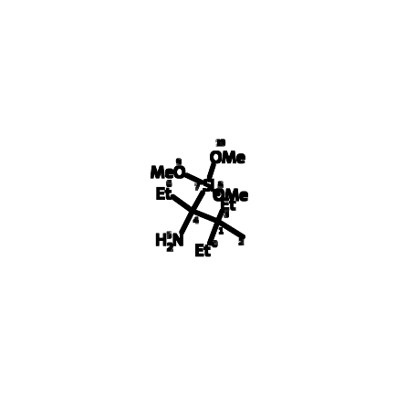 CCC(C)(CC)C(N)(CC)[Si](OC)(OC)OC